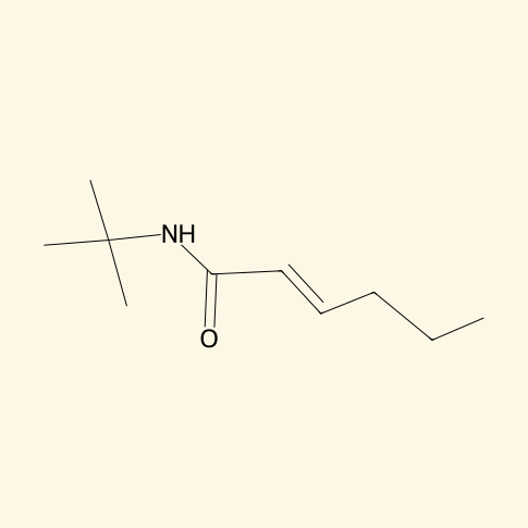 CCC/C=C/C(=O)NC(C)(C)C